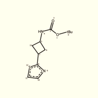 CC(C)(C)OC(=O)NC1CC(c2nccs2)C1